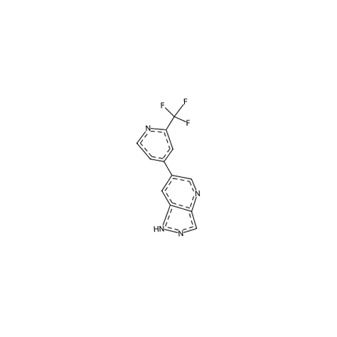 FC(F)(F)c1cc(-c2cnc3cn[nH]c3c2)ccn1